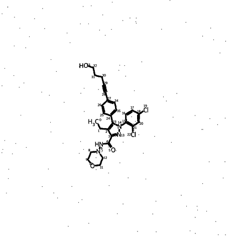 CCc1c(C(=O)NN2CCOCC2)nn(-c2ccc(Cl)cc2Cl)c1-c1ccc(C#CCCCO)cc1